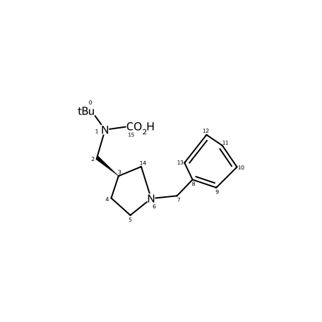 CC(C)(C)N(C[C@@H]1CCN(Cc2ccccc2)C1)C(=O)O